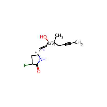 CC#CC[C@H](C)[C@H](O)/C=C/[C@H]1CC(F)C(=O)N1